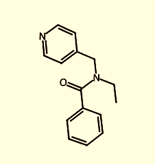 CCN(Cc1ccncc1)C(=O)c1ccccc1